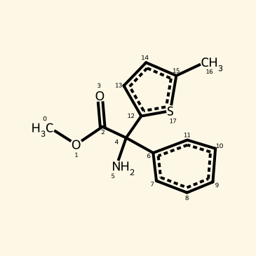 COC(=O)C(N)(c1ccccc1)c1ccc(C)s1